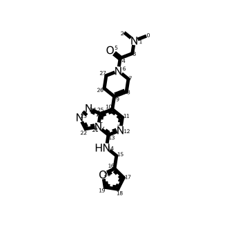 CN(C)CC(=O)N1CC=C(c2cnc(NCc3ccco3)n3cnnc23)CC1